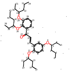 CCCC(CC)Oc1ccc(OC(CC)CCC)c(C=CC(=O)c2cccc(OC(CC)CCC)c2OC(CC)CCC)c1